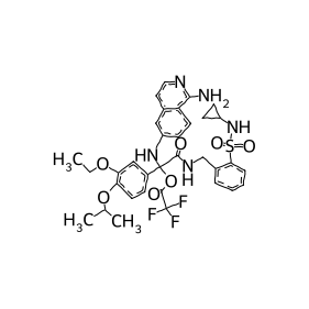 CCOc1cc(C(Nc2ccc3c(N)nccc3c2)(OC(=O)C(F)(F)F)C(=O)NCc2ccccc2S(=O)(=O)NC2CC2)ccc1OC(C)C